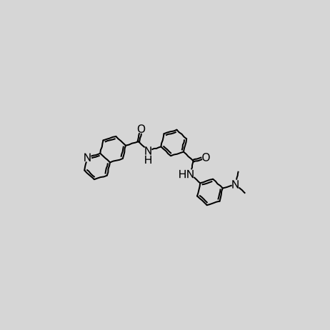 CN(C)c1cccc(NC(=O)c2cccc(NC(=O)c3ccc4ncccc4c3)c2)c1